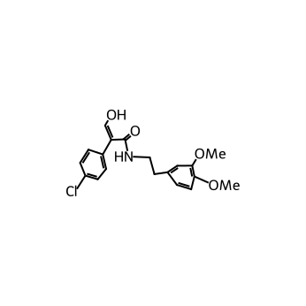 COc1ccc(CCNC(=O)/C(=C\O)c2ccc(Cl)cc2)cc1OC